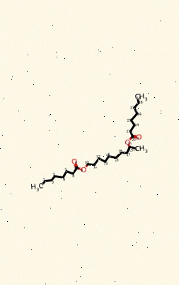 CCCCCCCC(=O)OCCCCCCCCC(C)OC(=O)CCCCCCC